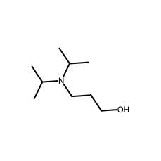 CC(C)N(CCCO)C(C)C